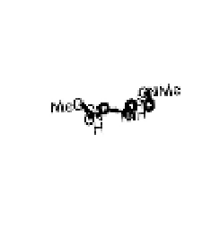 CNC(=O)c1ccccc1Sc1ccc2c(C#Cc3cccc(NC(=O)OCCOC)c3)n[nH]c2c1